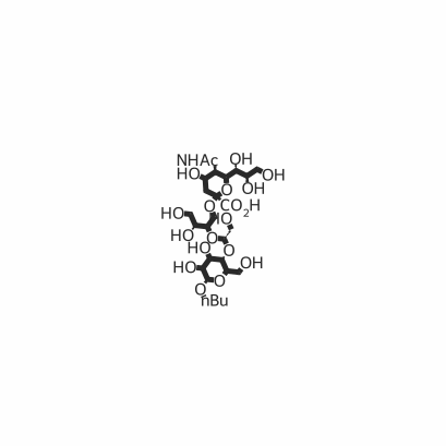 CCCCO[C@@H]1OC(CO)[C@@H](O[C@@H](CO)OC(CO[C@]2(C(=O)O)CC(O)[C@@H](NC(C)=O)C([C@H](O)[C@H](O)CO)O2)[C@H](O)CO)C(O)C1O